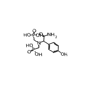 NC(=O)C(c1ccc(O)cc1)N(CP(=O)(O)O)CP(=O)(O)O